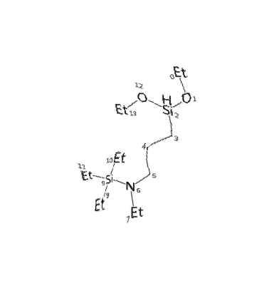 CCO[SiH](CCCN(CC)[Si](CC)(CC)CC)OCC